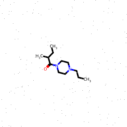 CCCN1CCN(C(=O)C(C)CC)CC1